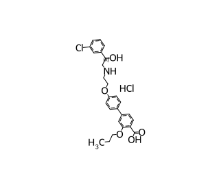 CCCOc1cc(-c2ccc(OCCNC[C@H](O)c3cccc(Cl)c3)cc2)ccc1C(=O)O.Cl